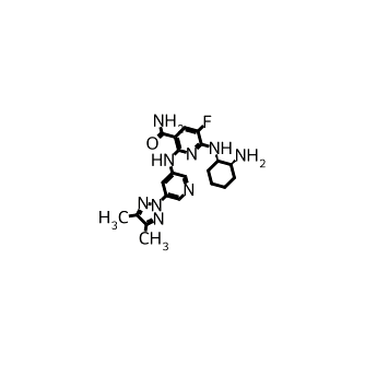 Cc1nn(-c2cncc(Nc3nc(N[C@@H]4CCCC[C@@H]4N)c(F)cc3C(N)=O)c2)nc1C